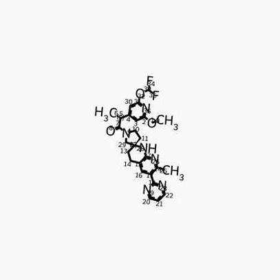 COc1cc([C@H](C)C(=O)N2CC[C@@]3(CCc4cc(-c5ncccn5)c(C)nc4N3)C2)cc(OC(F)F)n1